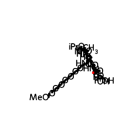 COCCOCCOCCOCCOCCOCCOCCOCCNC(=O)c1cc(NC(=O)[C@H](C)NC(=O)[C@@H](N)C(C)C)ccc1COC(=O)Nc1ccn([C@@H]2O[C@H](CO)[C@@H](O)C2(F)F)c(=O)n1